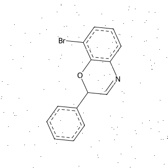 Brc1cccc2c1OC(c1ccccc1)C=N2